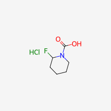 Cl.O=C(O)N1CCCCC1F